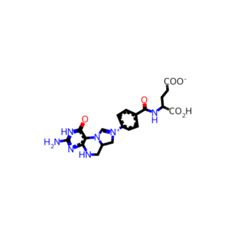 Nc1nc2c(c(=O)[nH]1)N1C=[N+](c3ccc(C(=O)NC(CCC(=O)[O-])C(=O)O)cc3)CC1CN2